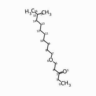 CCC(=O)CCOCCCCCCCCC(C)C